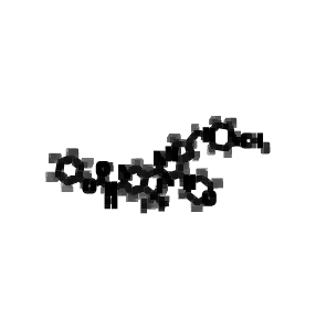 CN1CCN(Cc2cc3c(N4CCOCC4)nc(-c4cnc(NC(=O)Oc5ccccc5)cc4C(F)(F)F)nn3c2)CC1